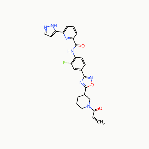 C=CC(=O)N1CCCC(c2nc(-c3ccc(NC(=O)c4cccc(-c5ccn[nH]5)n4)c(F)c3)no2)C1